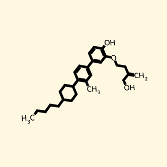 C=C(CO)CCOc1cc(-c2ccc(C3CCC(CCCCC)CC3)c(C)c2)ccc1O